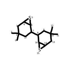 CC1(C)CC2SC2C(C2CC(C)(C)CC3SC32)C1